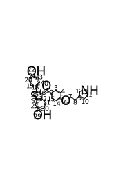 O=C(c1ccc(OCCC2CCNC2)cc1)c1c(-c2ccc(O)cc2)sc2cc(O)ccc12